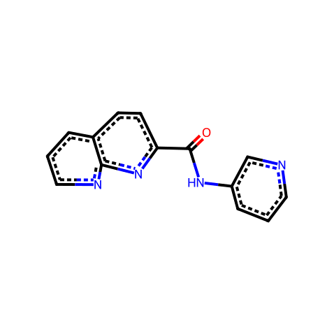 O=C(Nc1cccnc1)c1ccc2cccnc2n1